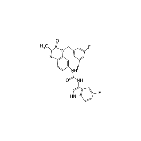 CC1Sc2ccc(NC(=O)Nc3c[nH]c4ccc(F)cc34)cc2N(Cc2cc(F)cc(F)c2)C1=O